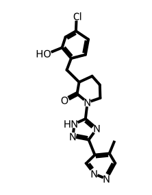 Cc1cnncc1-c1n[nH]c(N2CCCC(Cc3ccc(Cl)cc3O)C2=O)n1